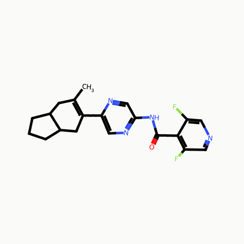 CC1=C(c2cnc(NC(=O)c3c(F)cncc3F)cn2)CC2CCCC2C1